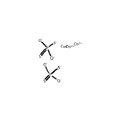 [Co+2].[Co+2].[Co+2].[O-]P([O-])(=S)[S-].[O-]P([O-])(=S)[S-]